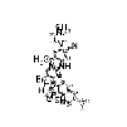 COc1cc(N2CCN(C)CC2)c(C#N)cc1Nc1ncc(Br)c(Nc2ccc3nc(C4CC4)ccc3c2P(C)(C)=O)n1